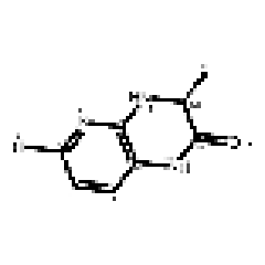 C[C@@H]1Nc2nc(Cl)ccc2NC1=O